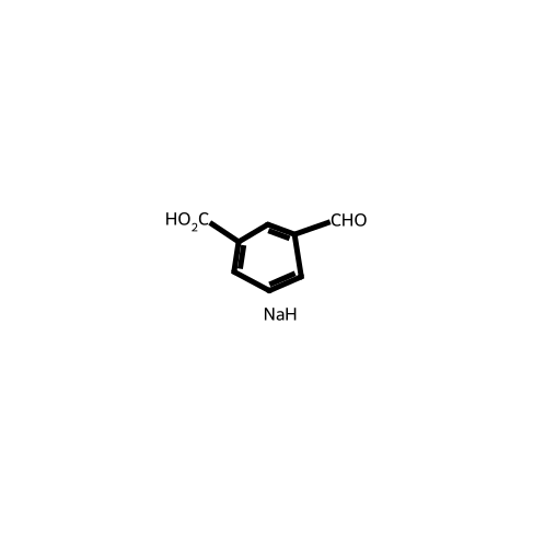 O=Cc1cccc(C(=O)O)c1.[NaH]